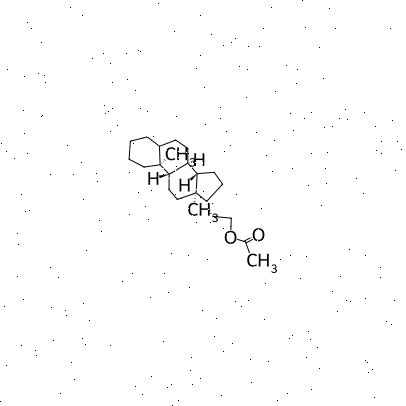 CC(=O)OCC[C@H]1CC[C@H]2[C@@H]3CCC4CCCC[C@]4(C)[C@H]3CC[C@]12C